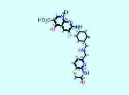 CCn1cc(C(=O)O)c(=O)c2cc(F)c(N[C@H]3CC[C@H](CNCc4ccc5c(n4)NC(=O)CS5)CC3)nc21